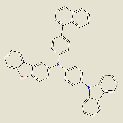 c1ccc2c(-c3ccc(N(c4ccc(-n5c6ccccc6c6ccccc65)cc4)c4ccc5oc6ccccc6c5c4)cc3)cccc2c1